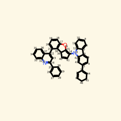 C1=CC(c2ccc3c4ccccc4n(C4=C5Oc6cccc(-c7cc(-c8ccccc8)nc8ccccc78)c6C5C=C4)c3c2)=CCC1